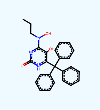 CCCN(O)c1nc(=O)[nH]c(C(c2ccccc2)(c2ccccc2)c2ccccc2)c1O